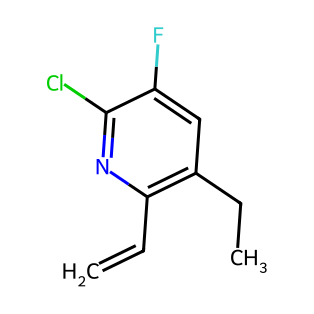 C=Cc1nc(Cl)c(F)cc1CC